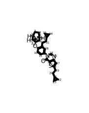 CN1[C@@H]2CC[C@H]1C[C@@H](Oc1ccc(-n3cnc4cc(CCC5CC5)sc4c3=O)cc1CCC1CC1)C2